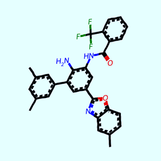 Cc1cc(C)cc(-c2cc(-c3nc4cc(C)ccc4o3)cc(NC(=O)c3ccccc3C(F)(F)F)c2N)c1